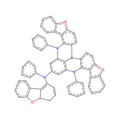 C1=CC(N(c2ccccc2)c2cc3c4c(c2)N(c2ccccc2)c2c(ccc5oc6ccccc6c25)B4c2ccc4oc5ccccc5c4c2N3c2ccccc2)=C2c3ccccc3OC2C1